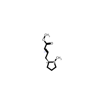 COC(=O)/C=C/C[C@@H]1CCCN1C